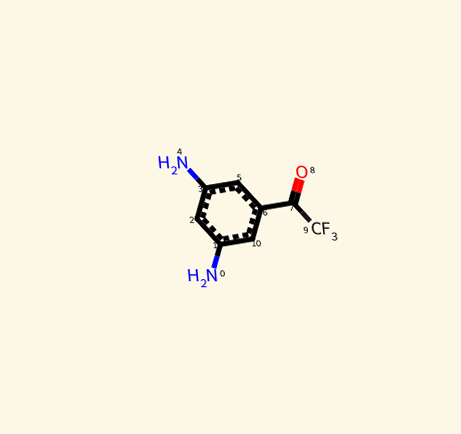 Nc1cc(N)cc(C(=O)C(F)(F)F)c1